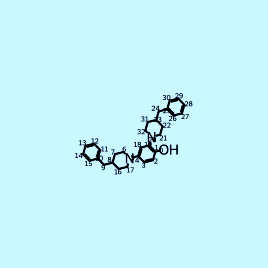 Oc1ccc(N2CCC(Cc3ccccc3)CC2)cc1N1CCC(Cc2ccccc2)CC1